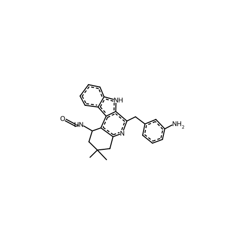 CC1(C)Cc2nc(Cc3cccc(N)c3)c3[nH]c4ccccc4c3c2C(NC=O)C1